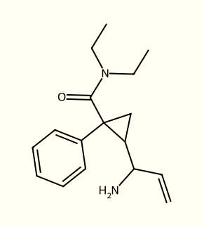 C=CC(N)C1CC1(C(=O)N(CC)CC)c1ccccc1